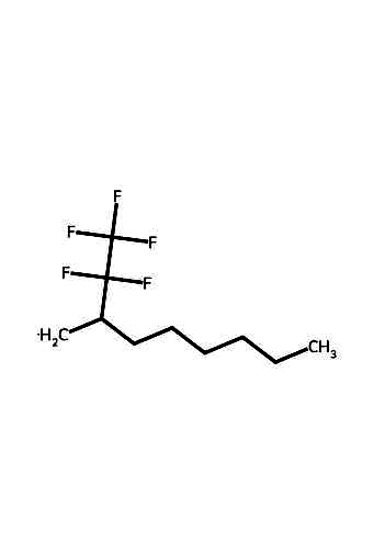 [CH2]C(CCCCCC)C(F)(F)C(F)(F)F